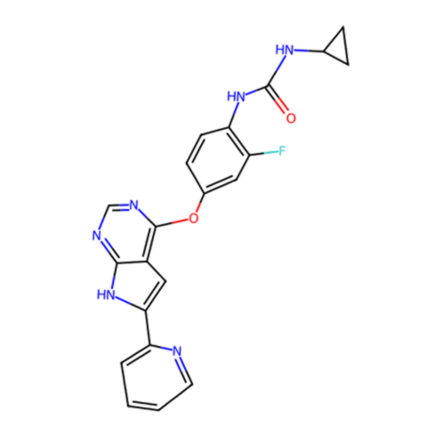 O=C(Nc1ccc(Oc2ncnc3[nH]c(-c4ccccn4)cc23)cc1F)NC1CC1